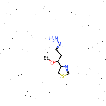 CCO[C@@H](C/C=N/N)C1CSC=N1